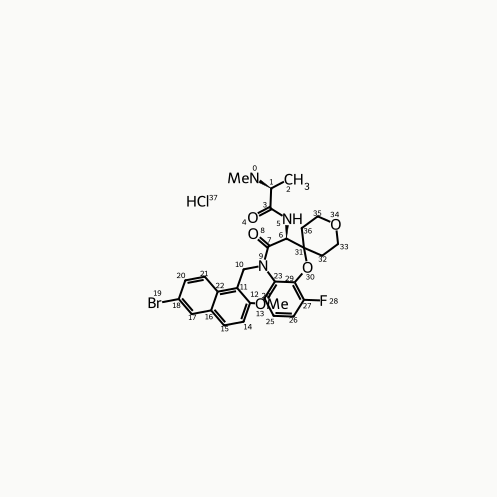 CN[C@@H](C)C(=O)N[C@@H]1C(=O)N(Cc2c(OC)ccc3cc(Br)ccc23)c2cccc(F)c2OC12CCOCC2.Cl